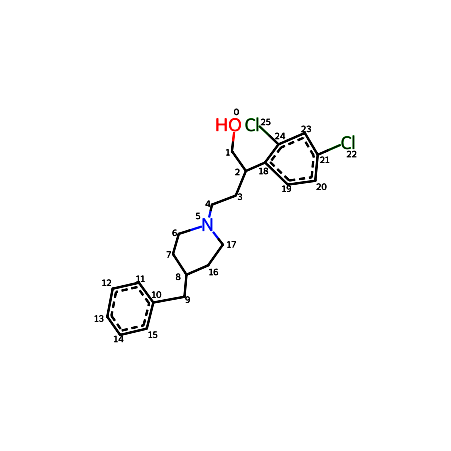 OCC(CCN1CCC(Cc2ccccc2)CC1)c1ccc(Cl)cc1Cl